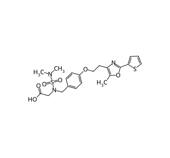 Cc1oc(-c2cccs2)nc1CCOc1ccc(CN(CC(=O)O)S(=O)(=O)N(C)C)cc1